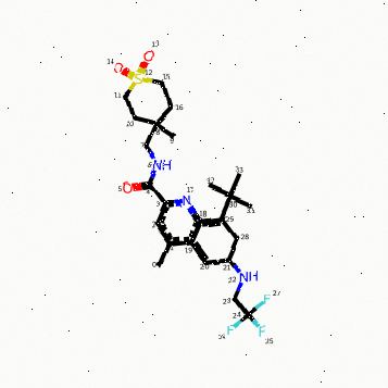 Cc1cc(C(=O)NCC2(C)CCS(=O)(=O)CC2)nc2c1=CC(NCC(F)(F)F)CC=2C(C)(C)C